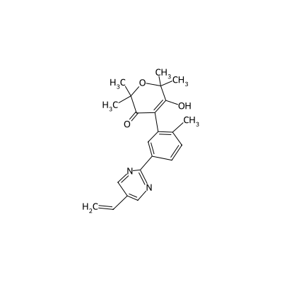 C=Cc1cnc(-c2ccc(C)c(C3=C(O)C(C)(C)OC(C)(C)C3=O)c2)nc1